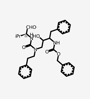 CC(C)[C@@H]([C]=O)NC(=O)N(CCc1ccccc1)CC(O)C(Cc1ccccc1)NC(=O)OCc1ccccc1